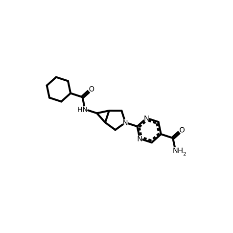 NC(=O)c1cnc(N2CC3C(C2)C3NC(=O)C2CCCCC2)nc1